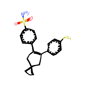 NS(=O)(=O)c1ccc(C2=C(c3ccc(S)cc3)CC3(CC3)C2)cc1